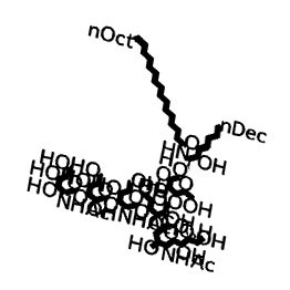 CCCCCCCC/C=C\CCCCCCCCCCCCCC(=O)N[C@@H](CO[C@@H]1OC(CO)[C@@H](O[C@@H]2OC(CO)[C@H](O[C@@H]3OC(CO)[C@H](O)[C@H](O[C@@H]4OC(CO)[C@H](O)[C@H](O[C@@H]5OC(CO)[C@H](O)[C@H](O)C5NC(C)=O)C4O)C3NC(C)=O)[C@H](O[C@]3(C(=O)O)CC(O)[C@@H](NC(C)=O)C([C@H](O)[C@H](O)CO)O3)C2O)[C@H](O)C1O)[C@H](O)/C=C/CCCCCCCCCCCCC